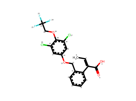 C/C=C(/C(=O)O)c1ccccc1COc1cc(Cl)c(OCC(F)(F)F)c(Cl)c1